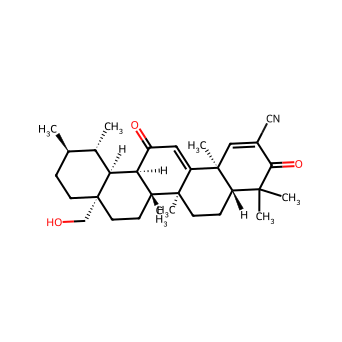 C[C@@H]1[C@H]2[C@H]3C(=O)C=C4[C@@]5(C)C=C(C#N)C(=O)C(C)(C)[C@@H]5CC[C@@]4(C)[C@]3(C)CC[C@@]2(CO)CC[C@H]1C